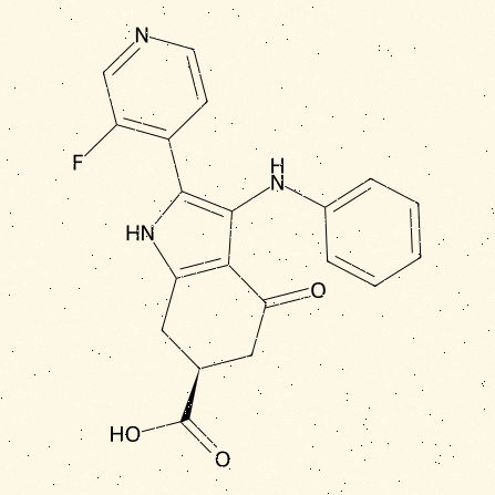 O=C1C[C@@H](C(=O)O)Cc2[nH]c(-c3ccncc3F)c(Nc3ccccc3)c21